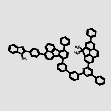 Cn1c(-c2ccc(-c3ccc4c5c(cccc35)-c3c(-c5ccccc5)ccc(-c5cccc(-c6cccc(-c7nc(-c8ccccc8)nc(-c8cc9c%10c(ccc%11cc(-c%12ccccc%12)cc(c%11%10)C9(C)C)c8)n7)c6)c5)c3-4)cc2)nc2ccccc21